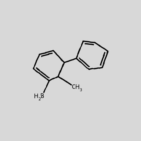 BC1=CC=CC(c2ccccc2)C1C